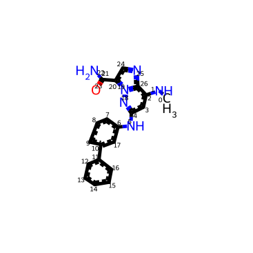 CNc1cc(Nc2cccc(-c3ccccc3)c2)nn2c(C(N)=O)cnc12